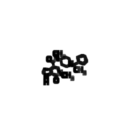 CC(c1ccccc1)N1CCC(N(C)C(=O)c2cn(C)c(=O)c3[nH]ccc23)CC1